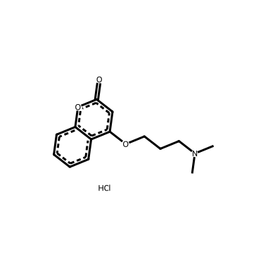 CN(C)CCCOc1cc(=O)oc2ccccc12.Cl